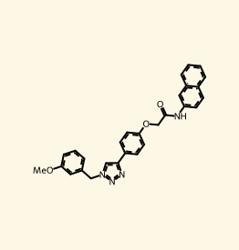 COc1cccc(Cn2cc(-c3ccc(OCC(=O)Nc4ccc5ccccc5c4)cc3)nn2)c1